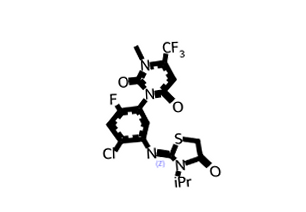 CC(C)N1C(=O)CS/C1=N\c1cc(-n2c(=O)cc(C(F)(F)F)n(C)c2=O)c(F)cc1Cl